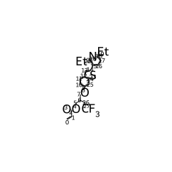 C=CC(=O)OCC(COc1ccc2cc(-c3ccc(CC)nc3CC)sc2c1)CC(F)(F)F